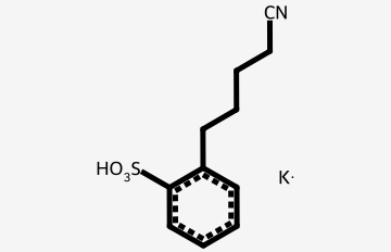 N#CCCCCc1ccccc1S(=O)(=O)O.[K]